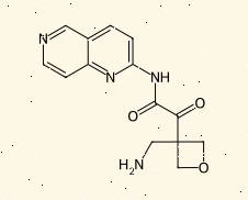 NCC1(C(=O)C(=O)Nc2ccc3cnccc3n2)COC1